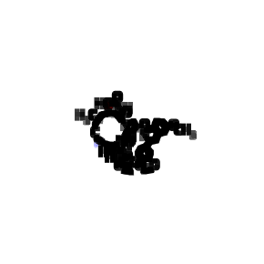 COc1ccc2c(O[C@@H]3C[C@H]4C(=O)N[C@]5(C(=O)NS(=O)(=O)C6(C)CC6)C[C@H]5/C=C\CC[C@H](C)C[C@@H](C)[C@H](NC(=O)O)C(=O)N4C3)nc(-c3ccc4c(c3)OCCO4)cc2c1